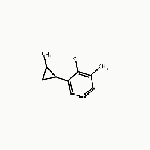 Cc1cccc([C]2CC2C)c1Cl